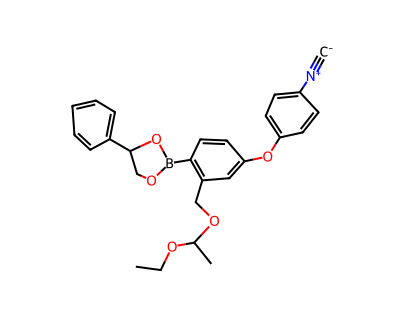 [C-]#[N+]c1ccc(Oc2ccc(B3OCC(c4ccccc4)O3)c(COC(C)OCC)c2)cc1